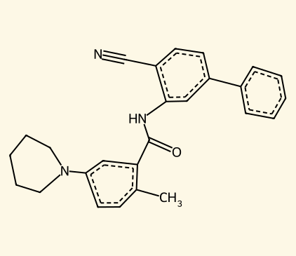 Cc1ccc(N2CCCCC2)cc1C(=O)Nc1cc(-c2ccccc2)ccc1C#N